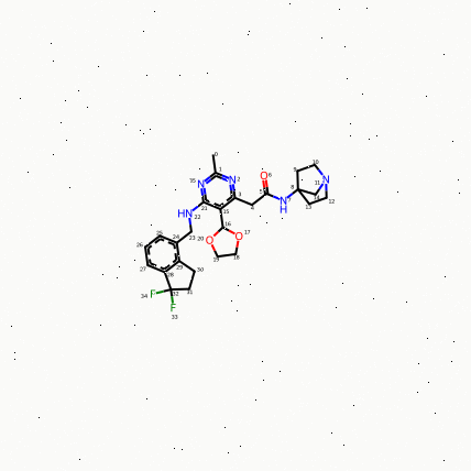 Cc1nc(CC(=O)NC23CCN(CC2)C3)c(C2OCCO2)c(NCc2cccc3c2CCC3(F)F)n1